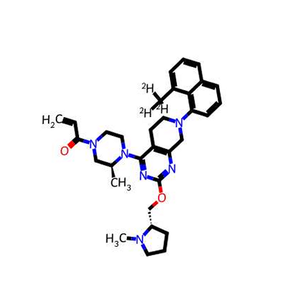 [2H]C([2H])([2H])c1cccc2cccc(N3CCc4c(nc(OC[C@@H]5CCCN5C)nc4N4CCN(C(=O)C=C)C[C@@H]4C)C3)c12